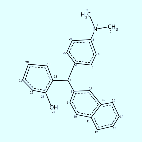 CN(C)c1ccc(C(c2ccc3ccccc3c2)c2ccccc2O)cc1